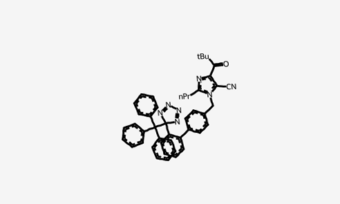 CCCc1nc(C(=O)C(C)(C)C)c(C#N)n1Cc1ccc(-c2ccccc2C2(C(c3ccccc3)(c3ccccc3)c3ccccc3)N=NN=N2)cc1